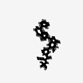 CC(C)(C)CC(O)Nc1cncc(-c2cc3c(-c4nc5c(-c6ccsc6)nccc5[nH]4)n[nH]c3cc2F)c1